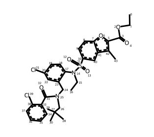 CCOC(=O)c1oc2ccc(S(=O)(=O)N(CC)c3ccc(Cl)cc3CN(CC(C)(C)C)C(=O)c3ccccc3Cl)cc2c1C